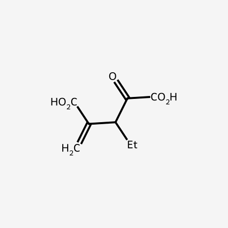 C=C(C(=O)O)C(CC)C(=O)C(=O)O